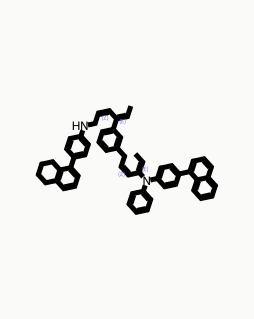 C/C=C(\C=C/CNc1ccc(-c2cccc3c2CCCC3)cc1)c1cccc(C/C=C\C(=C/C)N(c2ccccc2)c2ccc(-c3cccc4ccccc34)cc2)c1